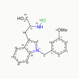 COc1cccc(Cn2cc(CC(NCl)C(=O)O)c3ccccc32)c1